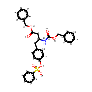 O=C(CC(Cc1ccc(OS(=O)(=O)c2ccccc2)cc1)NC(=O)OCc1ccccc1)OCc1ccccc1